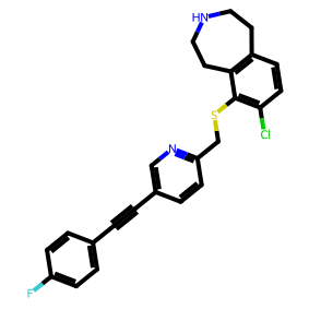 Fc1ccc(C#Cc2ccc(CSc3c(Cl)ccc4c3CCNCC4)nc2)cc1